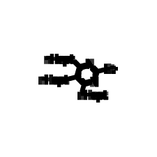 C[CH]c1nc(CCCCCCC)c(CCCCCCC)c(CCCCCCC)n1